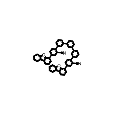 N#Cc1cc(-c2cccc3c2oc2ccccc23)ccc1-c1cccc(-c2cccc(-c3cccc(-c4ccc(-c5cccc6c5oc5ccccc56)cc4C#N)c3)c2)c1